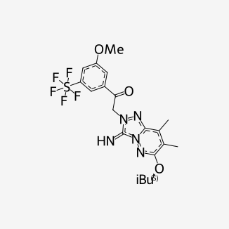 CC[C@H](C)Oc1nn2c(=N)n(CC(=O)c3cc(OC)cc(S(F)(F)(F)(F)F)c3)nc2c(C)c1C